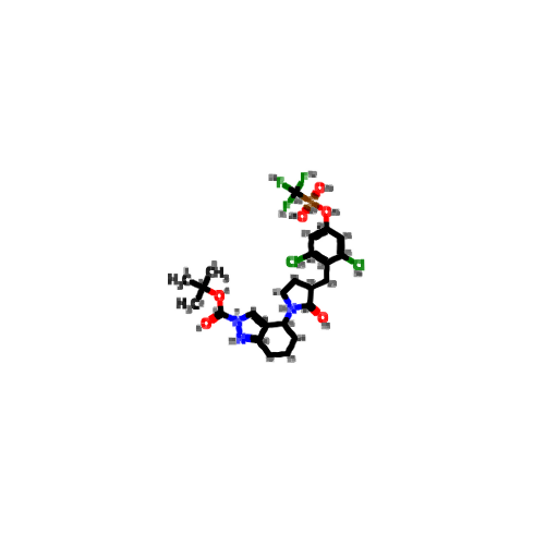 CC(C)(C)OC(=O)n1cc2c(n1)CCCC2N1CC[C@@H](Cc2c(Cl)cc(OS(=O)(=O)C(F)(F)F)cc2Cl)C1=O